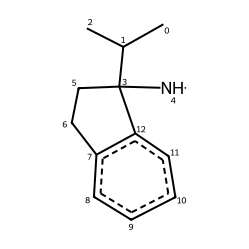 CC(C)C1([NH])CCc2ccccc21